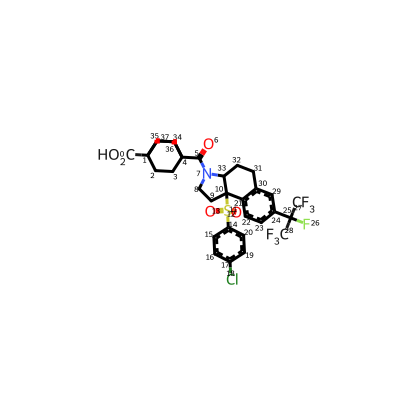 O=C(O)C12CCC(C(=O)N3CCC4(S(=O)(=O)c5ccc(Cl)cc5)c5ccc(C(F)(C(F)(F)F)C(F)(F)F)cc5CCC34)(CC1)CC2